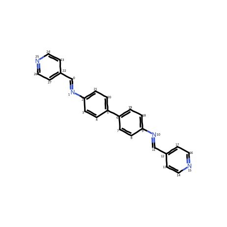 C(=N\c1ccc(-c2ccc(/N=C/c3ccncc3)cc2)cc1)/c1ccncc1